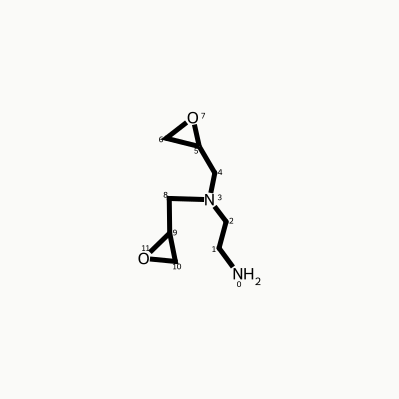 NCCN(CC1CO1)CC1CO1